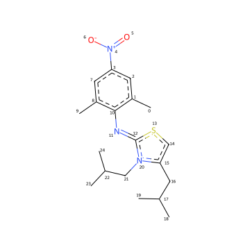 Cc1cc([N+](=O)[O-])cc(C)c1N=c1scc(CC(C)C)n1CC(C)C